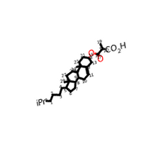 CC(C)CCCCC1CCC2C3CC=C4CC(OC(=O)C(C)C(=O)O)CCC4(C)C3CCC12C